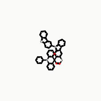 c1ccc(N2c3ccccc3C3(c4ccccc4Sc4cc5c6ccccc6n(-c6ccc7oc8ccccc8c7c6)c5cc43)c3ccccc32)cc1